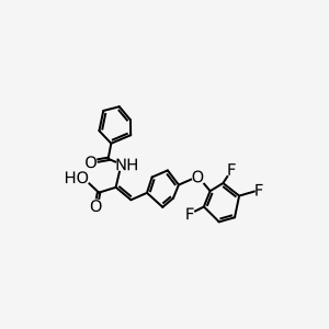 O=C(O)C(=Cc1ccc(Oc2c(F)ccc(F)c2F)cc1)NC(=O)c1ccccc1